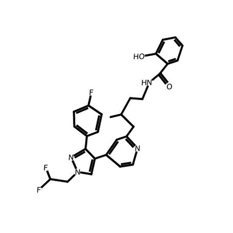 CC(CCNC(=O)c1ccccc1O)Cc1cc(-c2cn(CC(F)F)nc2-c2ccc(F)cc2)ccn1